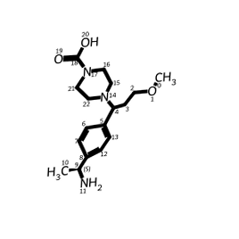 COCCC(c1ccc([C@H](C)N)cc1)N1CCN(C(=O)O)CC1